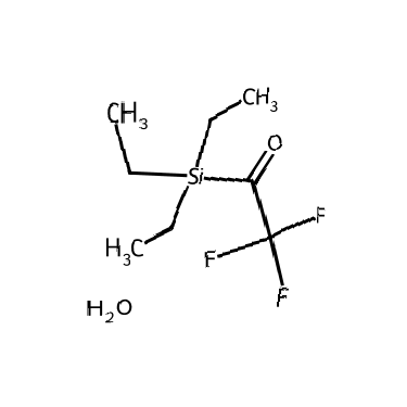 CC[Si](CC)(CC)C(=O)C(F)(F)F.O